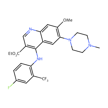 CCOC(=O)c1cnc2cc(OC)c(N3CCN(C)CC3)cc2c1Nc1ccc(F)cc1C(F)(F)F